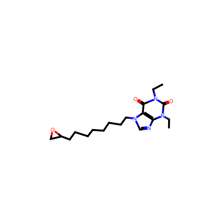 CCn1c(=O)c2c(ncn2CCCCCCCCC2CO2)n(CC)c1=O